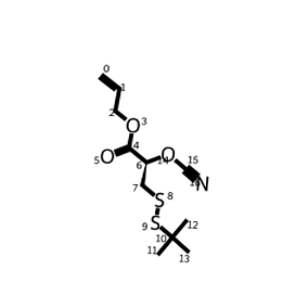 C=CCOC(=O)[C@H](CSSC(C)(C)C)OC#N